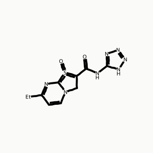 CCC1=NC2=S(=O)=C(C(=O)Nc3nnn[nH]3)CN2C=C1